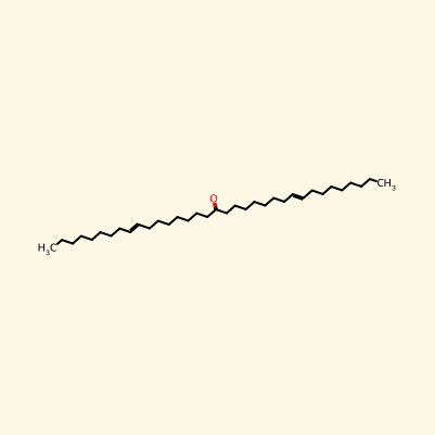 CCCCCCCCC=CCCCCCCCC(=O)CCCCCCCC=CCCCCCCCC